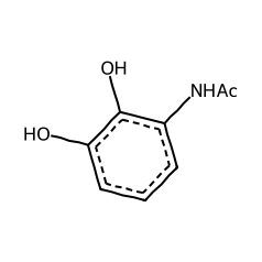 CC(=O)Nc1cccc(O)c1O